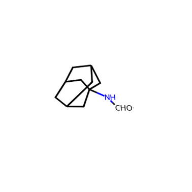 O=[C]NC12CC3CC(CC(C3)C1)C2